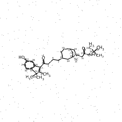 CC1=C(C(=O)CCC[C@H]2CCC3C[C@H](C2)N(CC(=O)NC(C)(C)C)C3)c2cc(O)ccc2C1(C)C